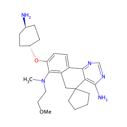 COCCN(C)c1c(O[C@H]2CC[C@H](N)CC2)ccc2c1CC1(CCCC1)c1c(N)ncnc1-2